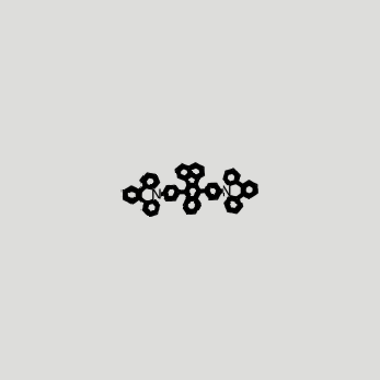 c1ccc2c(c1)-c1ccccc1N(c1ccc(-c3c4c(c(-c5ccc(N6c7ccccc7-c7ccccc7-c7ccccc76)cc5)c5ccccc35)-c3cccc5cccc-4c35)cc1)c1ccccc1-2